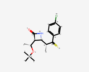 C[C@@H](O[Si](C)(C)C)[C@H]1C(=O)N[C@@H]1[C@@H](C)C(=S)c1ccc(Cl)cc1